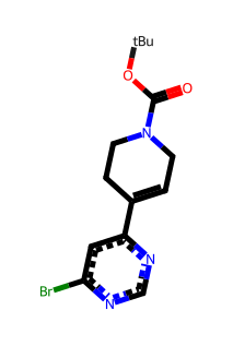 CC(C)(C)OC(=O)N1CC=C(c2cc(Br)ncn2)CC1